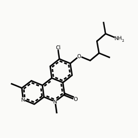 Cc1cc2c3cc(Cl)c(OCC(C)CC(C)N)cc3c(=O)n(C)c2cn1